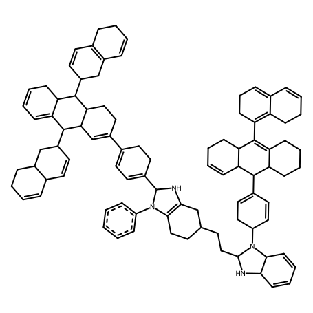 C1=CCC2C(=C1)C(C1C=CC3C=CCCC3C1)C1C=C(C3=CC=C(C4NC5=C(CCC(CCC6NC7C=CC=CC7N6C6C=CC(C7C8CCCCC8=C(C8=C9CCC=CC9=CCC8)C8CCC=CC87)=CC6)C5)N4c4ccccc4)CC3)CCC1C2C1C=CC2=C(C=CCC2)C1